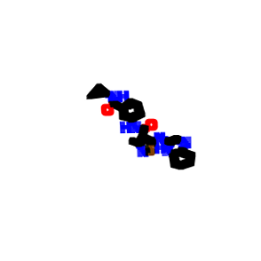 Cc1nsc(Nc2cnc3ccccc3n2)c1C(=O)Nc1cccc(C(=O)NC2CC2)c1